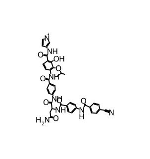 CC(C)Oc1c(NC(=O)c2ccc(NC(=O)C(CC(N)=O)NC(=O)c3ccc(NC(=O)c4ccc(C#N)cc4)cc3)cc2)ccc(C(=O)Nc2ccn(C)c2)c1O